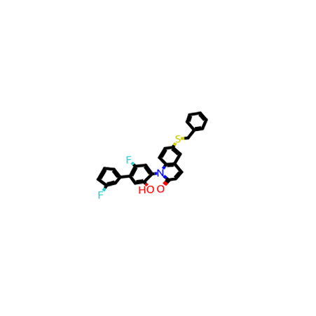 O=c1ccc2cc(SCc3ccccc3)ccc2n1-c1cc(F)c(-c2cccc(F)c2)cc1O